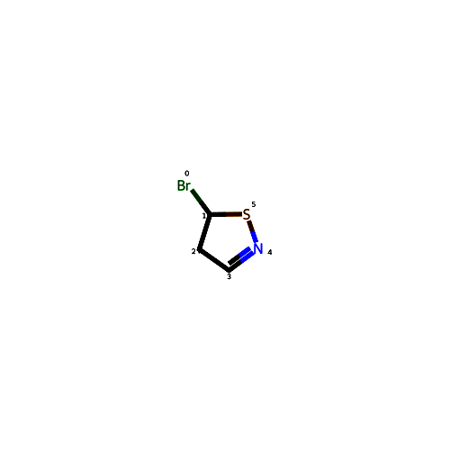 BrC1[CH]C=NS1